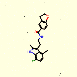 Cc1[nH]c2c(F)ccc(C)c2c1CCNC(=O)c1ccc2c(c1)CCO2